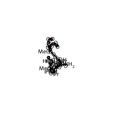 CCC(C)[C@@H]([C@@H](CC(=O)N1CCC[C@H]1[C@H](OC)[C@@H](C)C(=O)N[C@H](C)[C@@H](O)c1ccccc1)OC)N(C)C(=O)[C@@H](NC(=O)[C@H](C(C)C)N(C)C(=O)OCc1ccc(NC(=O)[C@H](CCCNC(N)=O)NC(=O)[C@@H](NC(=O)COCCOCCOCCOc2ccc(N3C(=O)C(Sc4ccc(C(=O)N5CCOCC5)cc4)=C(Sc4ccc(C(=O)N5CCOCC5)cc4)C3=O)cc2OC)C(C)C)cc1)C(C)C